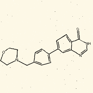 O=c1[nH]cnc2cc(-c3ccc(CN4CCOCC4)cc3)ccc12